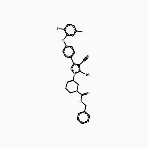 N#Cc1c(-c2ccc(Oc3cc(F)ccc3F)cc2)nn(C2CCCN(C(=O)OCc3ccccc3)C2)c1N